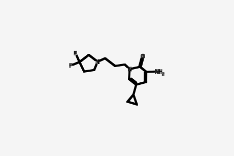 Nc1cc(C2CC2)cn(CCCN2CCC(F)(F)C2)c1=O